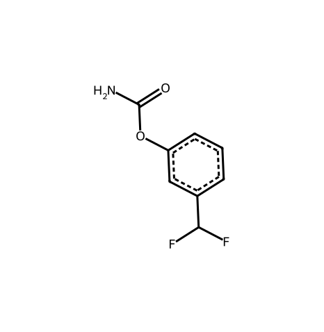 NC(=O)Oc1cccc(C(F)F)c1